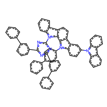 c1ccc(-c2ccc(-n3c4ccc(-n5c6ccccc6c6ccccc65)cc4c4ccc5c6ccccc6n(-c6nc(-c7cccc(-c8ccccc8)c7)nc(-c7cccc(-c8ccccc8)c7)n6)c5c43)cc2)cc1